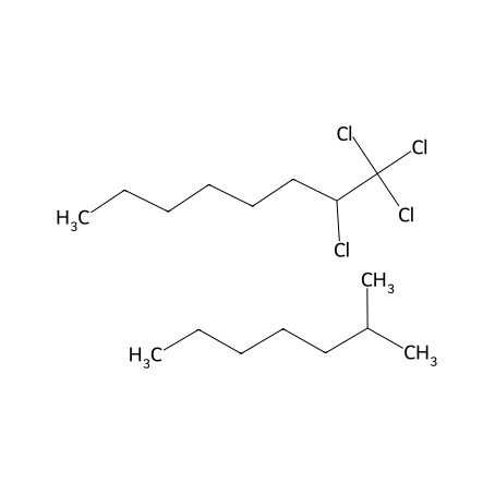 CCCCCC(C)C.CCCCCCC(Cl)C(Cl)(Cl)Cl